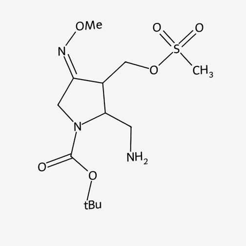 CON=C1CN(C(=O)OC(C)(C)C)C(CN)C1COS(C)(=O)=O